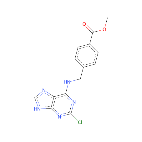 COC(=O)c1ccc(CNc2nc(Cl)nc3[nH]cnc23)cc1